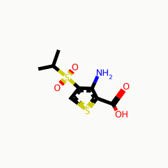 CC(C)S(=O)(=O)c1csc(C(=O)O)c1N